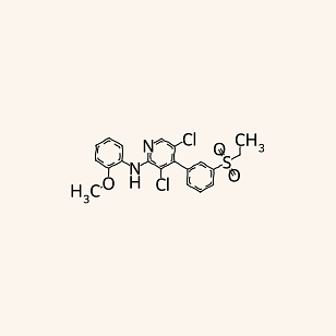 CCS(=O)(=O)c1cccc(-c2c(Cl)cnc(Nc3ccccc3OC)c2Cl)c1